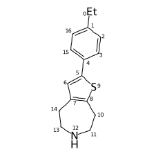 CCc1ccc(-c2cc3c(s2)CCNCC3)cc1